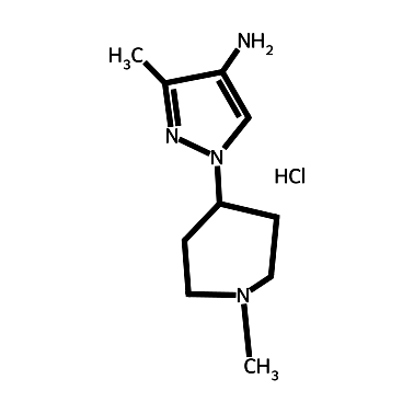 Cc1nn(C2CCN(C)CC2)cc1N.Cl